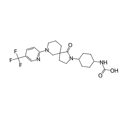 O=C(O)NC1CCC(N2CCC3(CCCN(c4ccc(C(F)(F)F)cn4)C3)C2=O)CC1